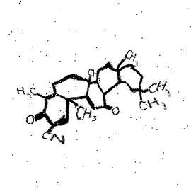 CC1=C2CCC3(C)C(=CC(=O)C4C5CC(C)(C)CCC5(C)CCC43)C2(C)C=C(C#N)C1=O